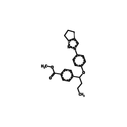 CCCC(Oc1ccc(-n2cc3c(n2)CCC3)cc1)c1ccc(C(=O)OC)cc1